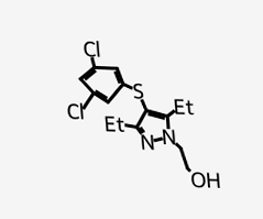 CCc1nn(CCO)c(CC)c1Sc1cc(Cl)cc(Cl)c1